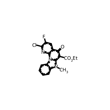 CCOC(=O)c1c(=O)c2cc(F)c(Cl)nc2n2c3ccccc3n(C)c12